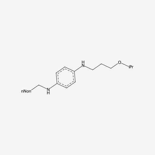 CCCCCCCCCCNc1ccc(NCCCOC(C)C)cc1